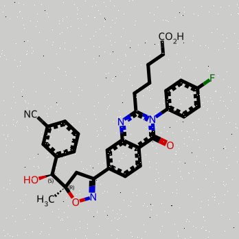 C[C@]1([C@@H](O)c2cccc(C#N)c2)CC(c2ccc3c(=O)n(-c4ccc(F)cc4)c(CCCCC(=O)O)nc3c2)=NO1